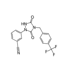 N#Cc1cccc(-n2[nH]c(=O)n(Cc3ccc(C(F)(F)F)cc3)c2=O)c1